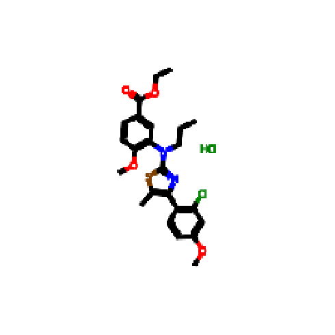 CCCN(c1nc(-c2ccc(OC)cc2Cl)c(C)s1)c1cc(C(=O)OCC)ccc1OC.Cl